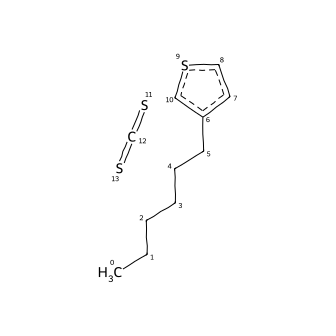 CCCCCCc1ccsc1.S=C=S